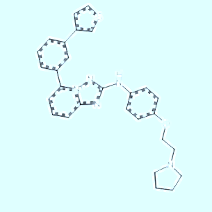 c1cc(-c2ccsc2)cc(-c2cccc3nc(Nc4ccc(OCCN5CCCC5)cc4)nn23)c1